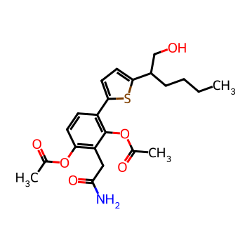 CCCCC(CO)c1ccc(-c2ccc(OC(C)=O)c(CC(N)=O)c2OC(C)=O)s1